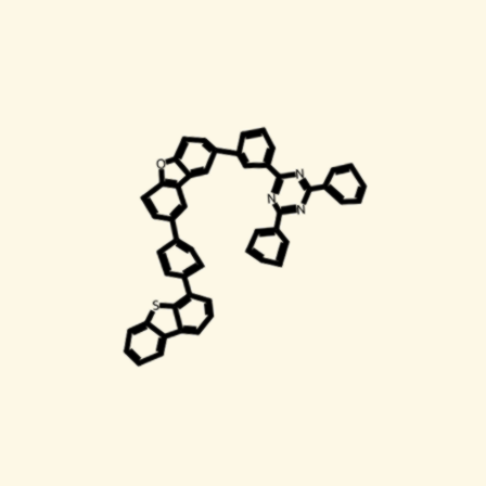 c1ccc(-c2nc(-c3ccccc3)nc(-c3cccc(-c4ccc5oc6ccc(-c7ccc(-c8cccc9c8sc8ccccc89)cc7)cc6c5c4)c3)n2)cc1